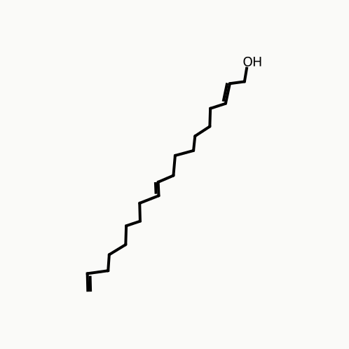 C=CCCCCCCC=CCCCCCCC=CCO